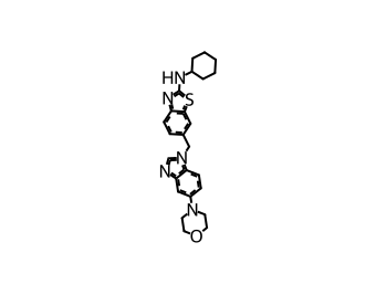 c1cc2nc(NC3CCCCC3)sc2cc1Cn1cnc2cc(N3CCOCC3)ccc21